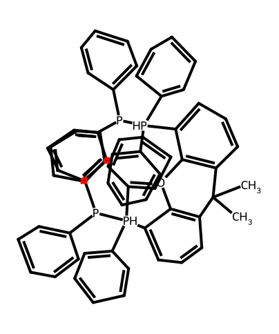 CC1(C)c2cccc([PH](c3ccccc3)(c3ccccc3)P(c3ccccc3)c3ccccc3)c2Oc2c1cccc2[PH](c1ccccc1)(c1ccccc1)P(c1ccccc1)c1ccccc1